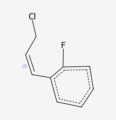 Fc1ccccc1/C=C\CCl